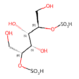 O=S(=O)(O)O[C@H](CO)[C@@H](O)[C@H](O)[C@@H](CO)OS(=O)(=O)O